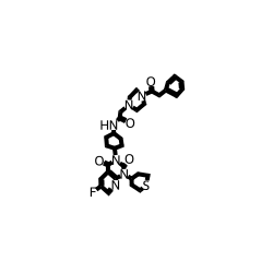 O=C(CN1CCN(C(=O)Cc2ccccc2)CC1)NC1CCC(n2c(=O)c3cc(F)cnc3n(C3CCSCC3)c2=O)CC1